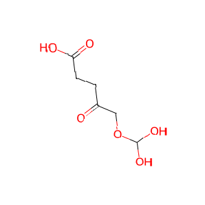 O=C(O)CCC(=O)COC(O)O